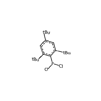 CC(C)(C)c1cc(C(C)(C)C)c(P(Cl)Cl)c(C(C)(C)C)c1